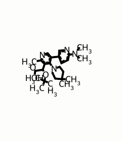 Cc1ncc(-c2ccc(N(C)C)nc2)c(N2CCC(C)(C)CC2)c1C(OC(C)(C)C)C(=O)O